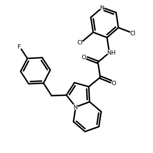 O=C(Nc1c(Cl)cncc1Cl)C(=O)c1cc(Cc2ccc(F)cc2)n2ccccc12